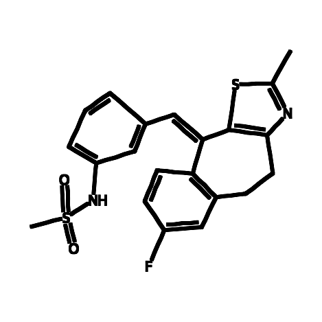 Cc1nc2c(s1)/C(=C/c1cccc(NS(C)(=O)=O)c1)c1ccc(F)cc1CC2